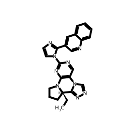 CC[C@@]12CCCN1c1nc(-n3ccnc3-c3cnc4ccccc4c3)ncc1-n1cnnc12